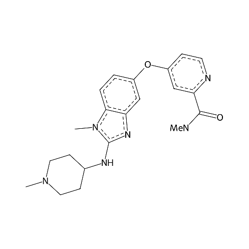 CNC(=O)c1cc(Oc2ccc3c(c2)nc(NC2CCN(C)CC2)n3C)ccn1